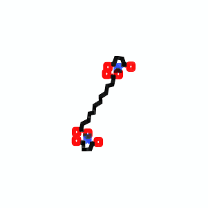 O=C(CCCCCCCCCCC(=O)ON1C(=O)CCC1=O)ON1C(=O)CCC1=O